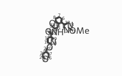 COc1ncc(-c2cccc3c2C[C@H](NC(=O)c2ccc(OCC4CCOCC4)nc2)CO3)cn1